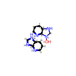 ON1CNc2cccnc21.c1cnc2nc[nH]c2c1